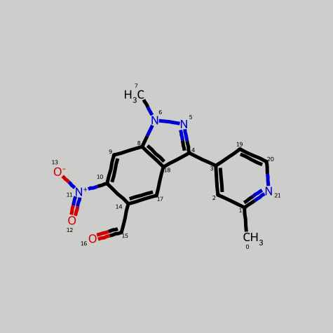 Cc1cc(-c2nn(C)c3cc([N+](=O)[O-])c(C=O)cc23)ccn1